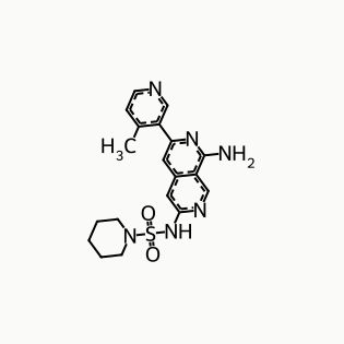 Cc1ccncc1-c1cc2cc(NS(=O)(=O)N3CCCCC3)ncc2c(N)n1